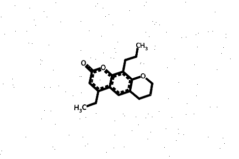 CCCc1c2c(cc3c(CC)cc(=O)oc13)CCCO2